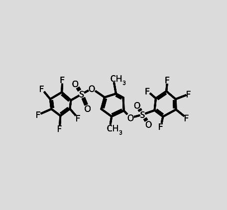 Cc1cc(OS(=O)(=O)c2c(F)c(F)c(F)c(F)c2F)c(C)cc1OS(=O)(=O)c1c(F)c(F)c(F)c(F)c1F